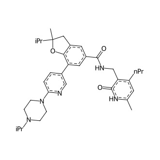 CCCc1cc(C)[nH]c(=O)c1CNC(=O)c1cc2c(c(-c3ccc(N4CCN(C(C)C)CC4)nc3)c1)OC(C)(C(C)C)C2